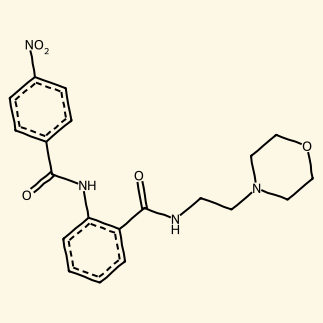 O=C(Nc1ccccc1C(=O)NCCN1CCOCC1)c1ccc([N+](=O)[O-])cc1